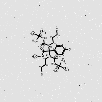 COC(=O)C(c1ccc(F)cc1)(N(CCCCl)C(=O)OC(C)(C)C)N(CCCCl)C(=O)OC(C)(C)C